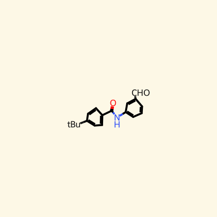 CC(C)(C)c1ccc(C(=O)Nc2cccc(C=O)c2)cc1